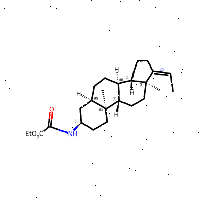 C/C=C1/CC[C@H]2[C@@H]3CC[C@@H]4C[C@H](NC(=O)C(=O)OCC)CC[C@]4(C)[C@H]3CC[C@]12C